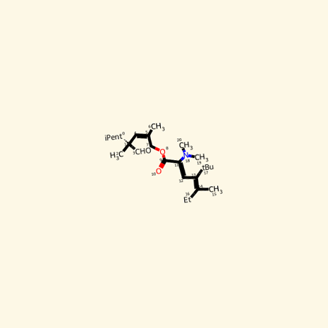 CCC[C@@H](C)C(C)(C=O)/C=C(/C)COC(=O)/C(=C/C(=C(/C)CC)C(C)(C)C)N(C)C